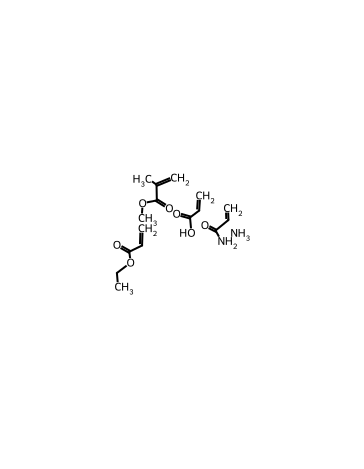 C=C(C)C(=O)OC.C=CC(=O)O.C=CC(=O)OCC.C=CC(N)=O.N